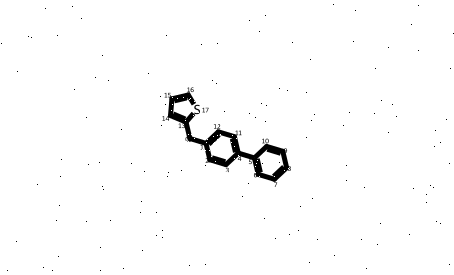 [CH](c1ccc(-c2ccccc2)cc1)c1cccs1